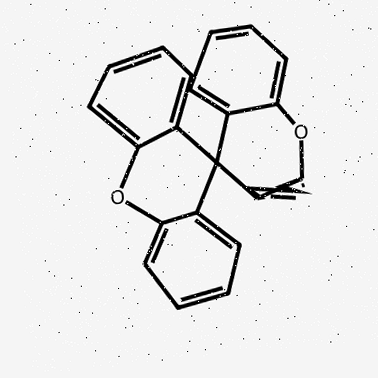 c1ccc2c(c1)Oc1ccccc1C21c2ccccc2Oc2ccccc21